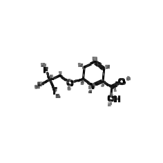 O=C(O)C1=NC(OCC(F)(F)F)CC=C1